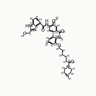 COCc1nc2c(C(=O)Nc3ccc(C(=O)N(C)c4ccc(C)cc4OCCCCCC(=O)N4CCN(C)CC4)cc3OC)cccc2[nH]1